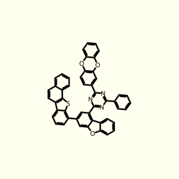 c1ccc(-c2nc(-c3ccc4c(c3)Oc3ccccc3O4)nc(-c3cc(-c4cccc5c4sc4c6ccccc6ccc54)cc4oc5ccccc5c34)n2)cc1